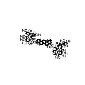 CC(=O)OC1C(C)OC(OC(=O)[C@@H]2CC(C)(C)C[C@@H]3C2[C@H](O)C[C@]2(C)C3C=C[C@@H]3[C@@]4(C)CC[C@H](OC5OC(C(=O)O)C(O)C(OC6OCC(O)C(O)C6O)C5OC5OC(CO)C(O)C(O)C5O)[C@@](C)(C=O)[C@@H]4CC[C@]32C)C(OC2OC(C)C(OC3OCC(O)C(O)C3O)C(O)C2O)C1OC1OC(CO)C(O)C(O)C1O